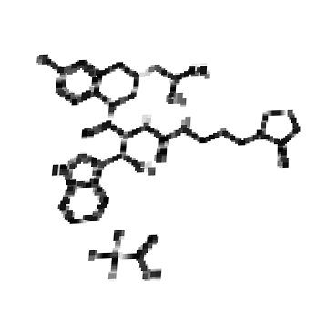 CC(c1c[nH]c2ccccc12)C(NC(=O)NCCCN1CCCC1=O)C(=O)N1C[C@@H](CN(C)C)Cc2cc(Cl)ccc21.O=C(O)C(F)(F)F